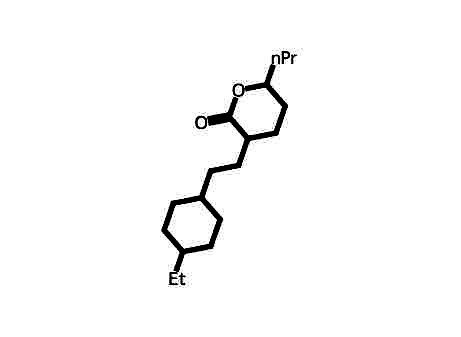 CCCC1CCC(CCC2CCC(CC)CC2)C(=O)O1